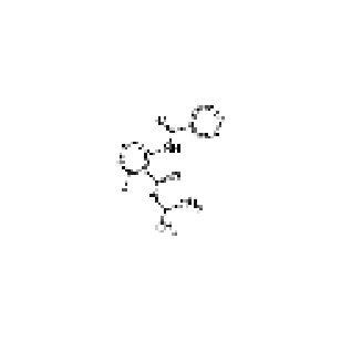 CC(C)OC(=O)c1c(F)cccc1NC(=O)c1ccccc1